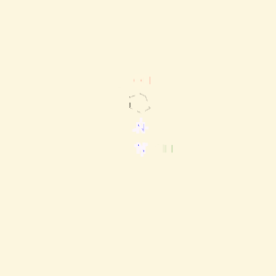 Cl.Oc1ccc(N2CCN(CCCC3CCCCC3)CC2)cc1F